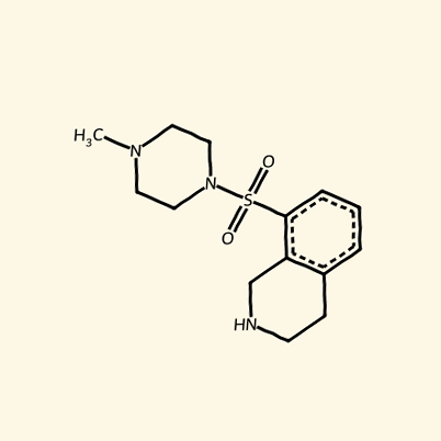 CN1CCN(S(=O)(=O)c2cccc3c2CNCC3)CC1